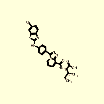 CC[C@H](C)[C@H](NC(=O)c1cccn2c(-c3ccc(Nc4nc5ccc(Cl)cc5s4)cc3)nnc12)C(=O)O